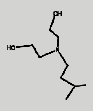 CC(C)CCN(CCO)CCO